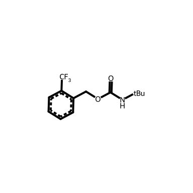 CC(C)(C)NC(=O)OCc1ccccc1C(F)(F)F